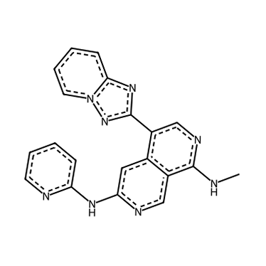 CNc1ncc(-c2nc3ccccn3n2)c2cc(Nc3ccccn3)ncc12